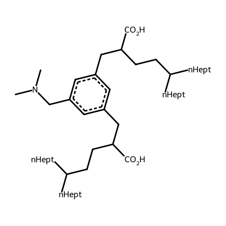 CCCCCCCC(CCCCCCC)CCC(Cc1cc(CC(CCC(CCCCCCC)CCCCCCC)C(=O)O)cc(CN(C)C)c1)C(=O)O